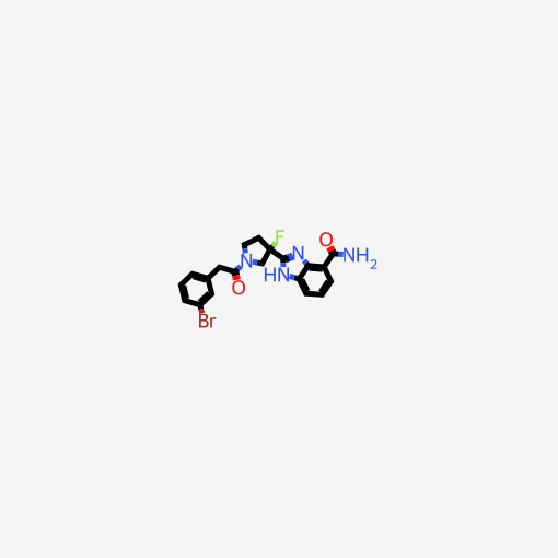 NC(=O)c1cccc2[nH]c(C3(F)CCN(C(=O)Cc4cccc(Br)c4)C3)nc12